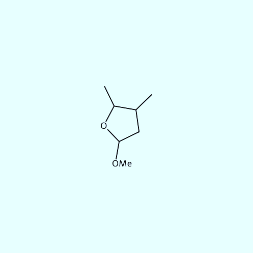 COC1CC(C)C(C)O1